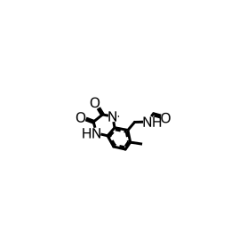 Cc1ccc2c(c1CNC=O)[N]C(=O)C(=O)N2